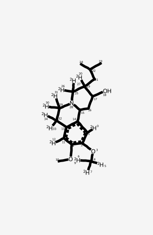 [2H]c1c(OC([2H])([2H])[2H])c(OC)c([2H])c2c1C1CC(O)C([2H])(CC(C)C)C([2H])([2H])N1C([2H])([2H])C2([2H])[2H]